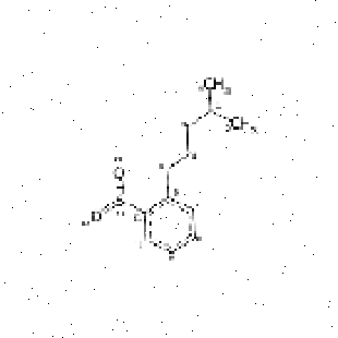 CC(C)CCCc1ccccc1[SH](=O)=O